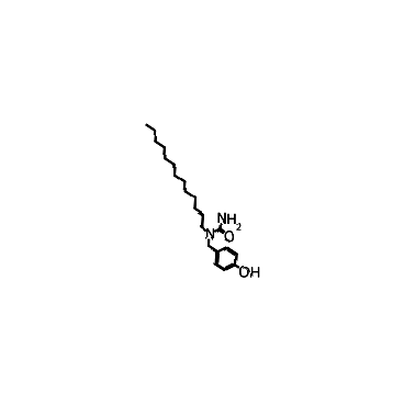 CCCCCCCCCCCCCN(Cc1ccc(O)cc1)C(N)=O